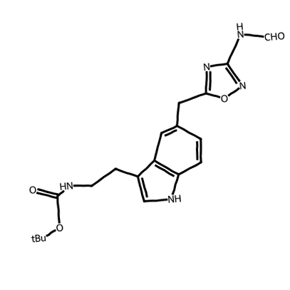 CC(C)(C)OC(=O)NCCc1c[nH]c2ccc(Cc3nc(NC=O)no3)cc12